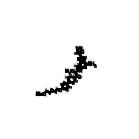 COCCOCCOc1ccc(N2CCN(C(=O)C(C)n3cc4c(nc(N)n5nc(-c6ccco6)nc45)n3)CC2)cc1